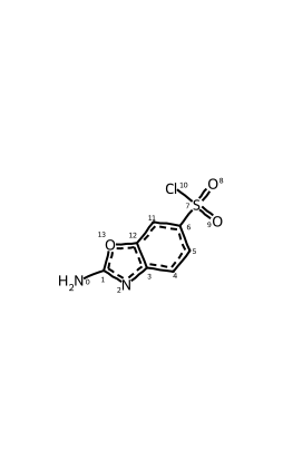 Nc1nc2ccc(S(=O)(=O)Cl)cc2o1